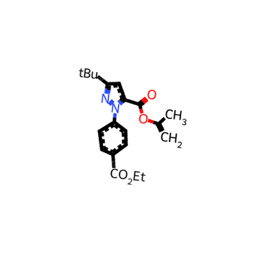 C=C(C)OC(=O)c1cc(C(C)(C)C)nn1-c1ccc(C(=O)OCC)cc1